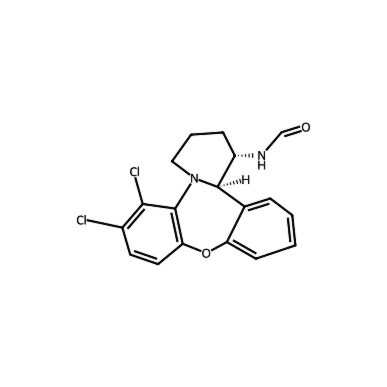 O=CN[C@H]1CCCN2c3c(ccc(Cl)c3Cl)Oc3ccccc3[C@H]12